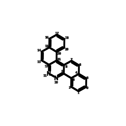 c1ccc2c(c1)ccc1c2nnc2ccc3ccccc3c21